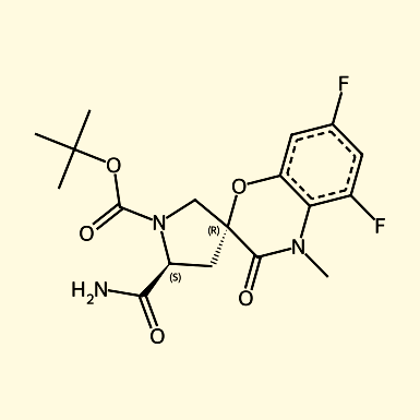 CN1C(=O)[C@]2(C[C@@H](C(N)=O)N(C(=O)OC(C)(C)C)C2)Oc2cc(F)cc(F)c21